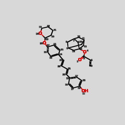 C=CC(=O)OC12CC3CC(CC(C3)C1)C2.Oc1ccc(C=CC=Cc2ccc(OC3CCCCO3)cc2)cc1